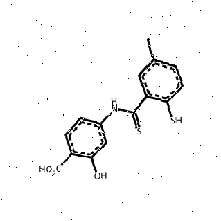 Cc1ccc(S)c(C(=S)Nc2ccc(C(=O)O)c(O)c2)c1